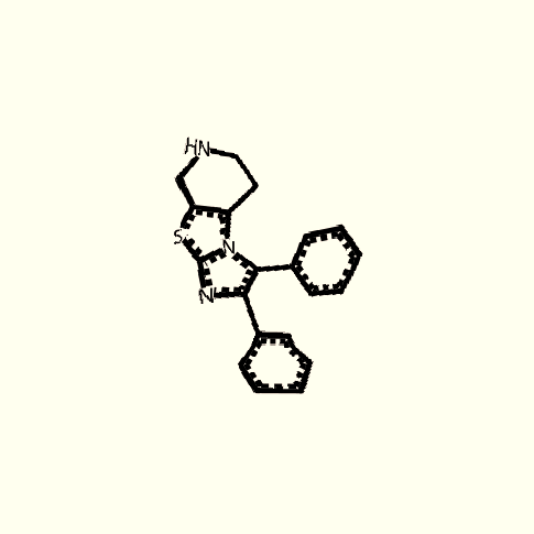 c1ccc(-c2nc3sc4c(n3c2-c2ccccc2)CCNC4)cc1